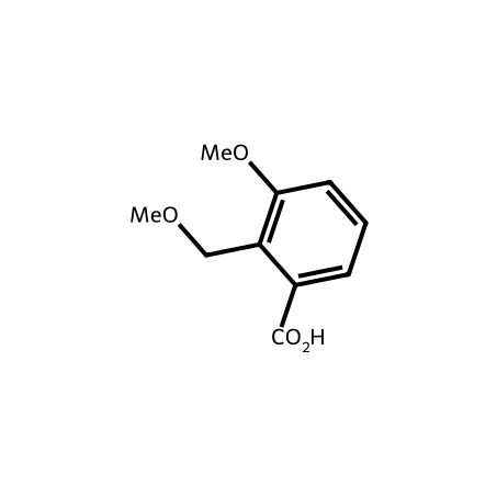 COCc1c(OC)cccc1C(=O)O